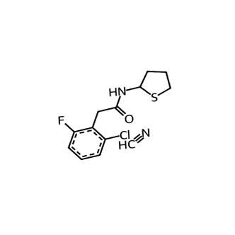 C#N.O=C(Cc1c(F)cccc1Cl)NC1CCCS1